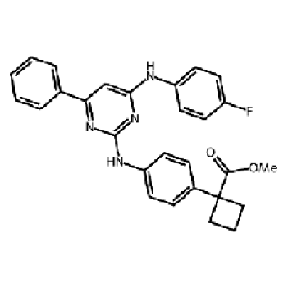 COC(=O)C1(c2ccc(Nc3nc(Nc4ccc(F)cc4)cc(-c4ccccc4)n3)cc2)CCC1